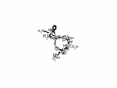 CC(C)C[C@@H]1NC(=O)[C@H]([C@@H](C)O)NC(=O)[C@H](CC(=O)O)NC(=O)[C@H](CO)NC(=O)[C@H](CCCNC(=N)N)N(C)C(=O)CCSCC(C(=O)N[C@@H](Cc2c[nH]c3ccccc23)C(=O)N[C@@H](CCCCN)C(N)=O)NC1=O